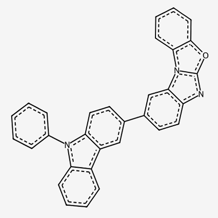 c1ccc(-n2c3ccccc3c3cc(-c4ccc5nc6oc7ccccc7n6c5c4)ccc32)cc1